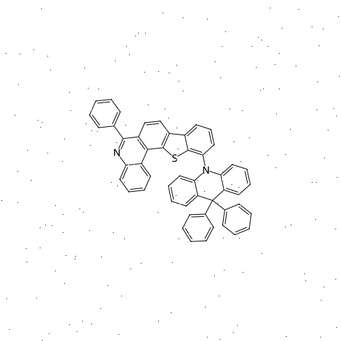 c1ccc(-c2nc3ccccc3c3c2ccc2c4cccc(N5c6ccccc6C(c6ccccc6)(c6ccccc6)c6ccccc65)c4sc23)cc1